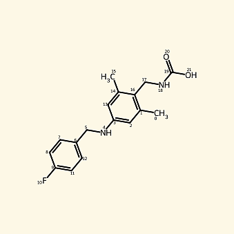 Cc1cc(NCc2ccc(F)cc2)cc(C)c1CNC(=O)O